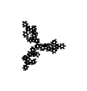 CC(Cc1c(-c2ccccc2)nc(-c2ccccc2)nc1-c1ccccc1)c1cc2c(cn1)-c1ccc(-c3cc(-c4cc5c(cn4)-c4cnc(C(C)Cc6c(-c7ccccc7)nc(-c7ccccc7)nc6-c6ccccc6)cc4[Si]5(C)C)cc(-c4cc5c(cn4)-c4cnc(C(C)Cc6c(-c7ccccc7)nc(-c7ccccc7)nc6-c6ccccc6)cc4[Si]5(C)C)c3)cc1[Si]2(C)C